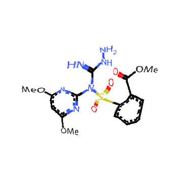 COC(=O)c1ccccc1S(=O)(=O)N(C(=N)NN)c1nc(OC)cc(OC)n1